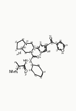 CN[C@@H](C)C(=O)N[C@H](C(=O)N1C[C@H]2CCCN2C[C@H]1c1nc(C(=O)c2ccoc2)cs1)C1CCCCC1